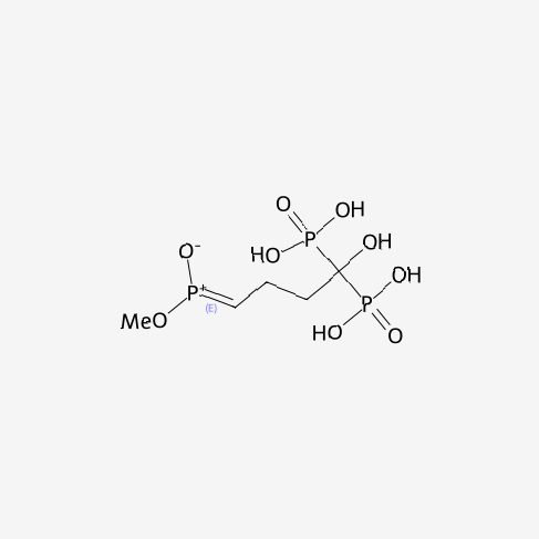 CO/[P+]([O-])=C/CCC(O)(P(=O)(O)O)P(=O)(O)O